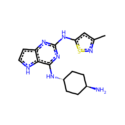 Cc1cc(Nc2nc(N[C@H]3CC[C@H](N)CC3)c3[nH]ccc3n2)sn1